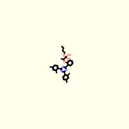 CCCCOC(O)(O)C(C)Oc1ccccc1-c1nc(-c2ccc(C)cc2C)nc(-c2ccc(C)cc2C)n1